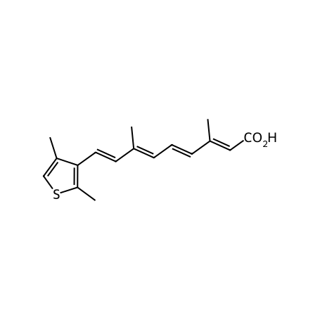 CC(/C=C/c1c(C)csc1C)=C\C=C\C(C)=C\C(=O)O